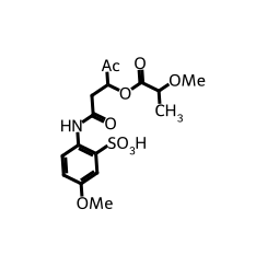 COc1ccc(NC(=O)CC(OC(=O)C(C)OC)C(C)=O)c(S(=O)(=O)O)c1